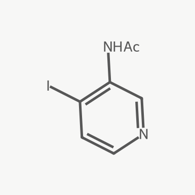 CC(=O)Nc1cnccc1I